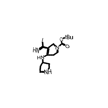 CC(C)(C)OC(=O)N1CCC(NC2CCNCC2)=C(C(=N)I)C1